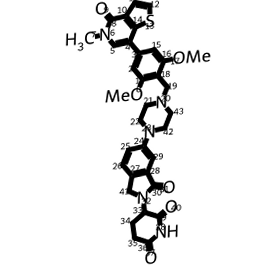 COc1cc(-c2cn(C)c(=O)c3ccsc23)cc(OC)c1CN1CCN(c2ccc3c(c2)C(=O)N(C2CCC(=O)NC2=O)C3)CC1